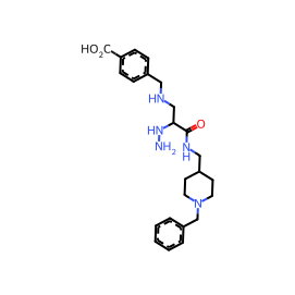 NNC(CNCc1ccc(C(=O)O)cc1)C(=O)NCC1CCN(Cc2ccccc2)CC1